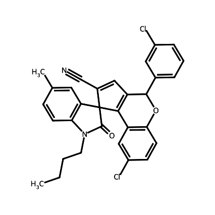 CCCCN1C(=O)C2(C(C#N)=CC3=C2c2cc(Cl)ccc2OC3c2cccc(Cl)c2)c2cc(C)ccc21